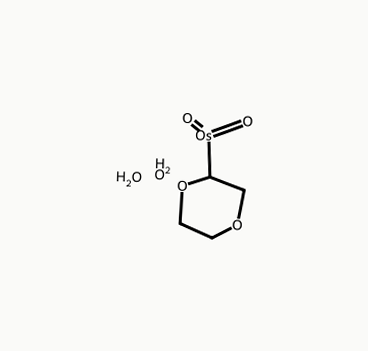 O.O.[O]=[Os](=[O])[CH]1COCCO1